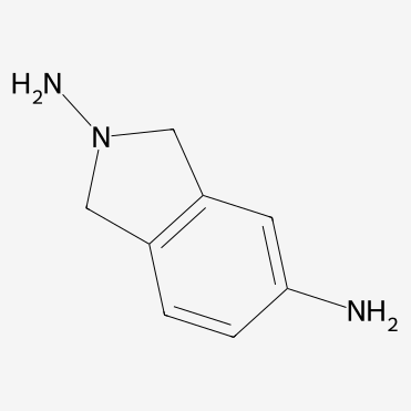 Nc1ccc2c(c1)CN(N)C2